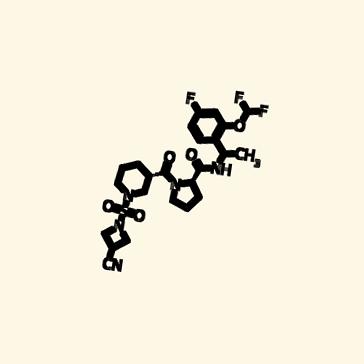 CC(NC(=O)[C@H]1CCCN1C(=O)[C@H]1CCCN(S(=O)(=O)N2CC(C#N)C2)C1)c1ccc(F)cc1OC(F)F